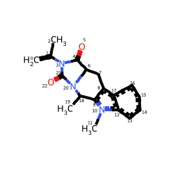 C=C(C)N1C(=O)C2Cc3c(n(C)c4ccccc34)C(C)N2C1=O